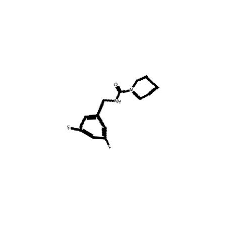 O=C(NCc1cc(F)cc(F)c1)N1CCCCC1